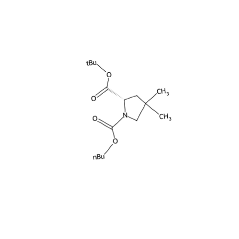 CCCCOC(=O)N1CC(C)(C)C[C@H]1C(=O)OC(C)(C)C